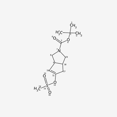 CC(C)(C)OC(=O)N1CC2C=C(OS(C)(=O)=O)CC2C1